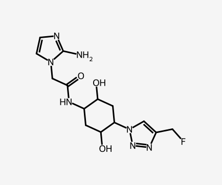 Nc1nccn1CC(=O)NC1CC(O)C(n2cc(CF)nn2)CC1O